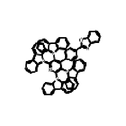 c1ccc2oc(-c3ccc(-c4c(-n5c6ccccc6c6ccccc65)c(-n5c6ccccc6c6ccccc65)nc(-n5c6ccccc6c6ccccc65)c4-n4c5ccccc5c5ccccc54)cc3)nc2c1